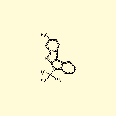 Cc1ccc2c(c1)nc1n(C(C)(C)C)c3ccccc3n21